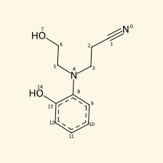 N#CCCN(CCO)c1ccccc1O